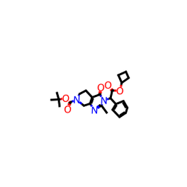 Cc1nc2c(c(=O)n1C(C(=O)OC1CCC1)c1ccccc1)CCN(C(=O)OC(C)(C)C)C2